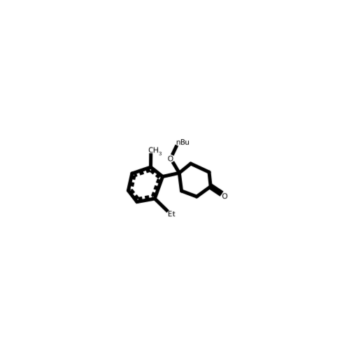 CCCCOC1(c2c(C)cccc2CC)CCC(=O)CC1